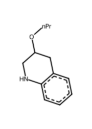 CCCOC1CNc2ccccc2C1